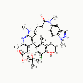 Cc1nc2c(cc(CCC(=O)N(C)c3ccc4c(cnn4C)c3)n2C)c(-c2cc(F)c3c(c2C)CCCO3)c1[C@H](OC(C)(C)C)C(=O)O